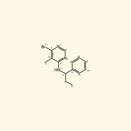 CCC(Nc1ncnc(Br)c1C)c1ccccc1